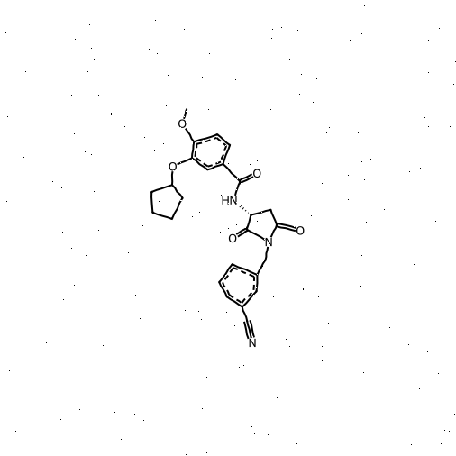 COc1ccc(C(=O)N[C@@H]2CC(=O)N(Cc3cccc(C#N)c3)C2=O)cc1OC1CCCC1